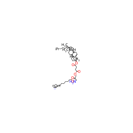 CCCCCCCC/C=C\CCCCCCCC(=O)O[C@H](CN)COC(=O)CCC(=O)O[C@H]1CC[C@@]2(C)C(=CC[C@H]3[C@@H]4CC[C@H]([C@H](C)CCCC(C)C)[C@@]4(C)CC[C@@H]32)C1